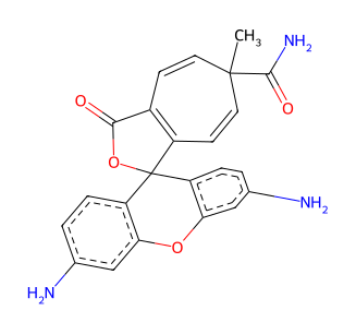 CC1(C(N)=O)C=CC2=C(C=C1)C1(OC2=O)c2ccc(N)cc2Oc2cc(N)ccc21